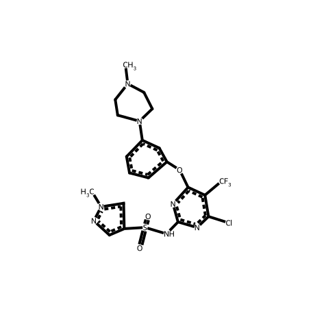 CN1CCN(c2cccc(Oc3nc(NS(=O)(=O)c4cnn(C)c4)nc(Cl)c3C(F)(F)F)c2)CC1